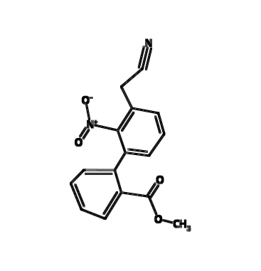 COC(=O)c1ccccc1-c1cccc(CC#N)c1[N+](=O)[O-]